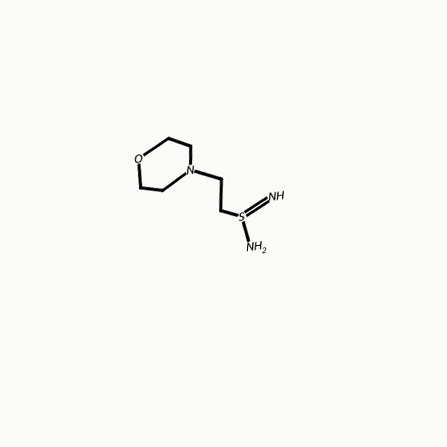 N=S(N)CCN1CCOCC1